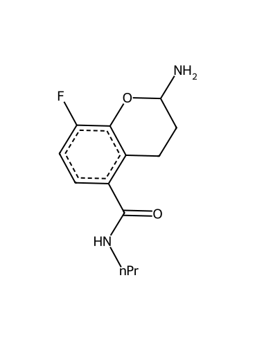 CCCNC(=O)c1ccc(F)c2c1CCC(N)O2